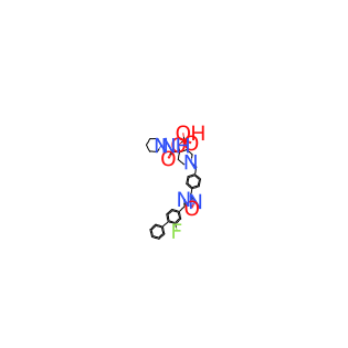 O=C(O)OC1(C(=O)NN2CCCCC2)CCN(Cc2ccc(-c3noc(-c4ccc(-c5ccccc5)c(F)c4)n3)cc2)CC1